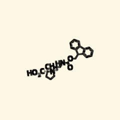 C[C@]1(C(=O)O)CCCN1CCNC(=O)OCC1c2ccccc2-c2ccccc21